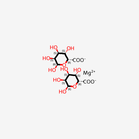 O=C([O-])[C@@H]1O[C@@H](O)[C@@H](O)[C@@H](O)[C@@H]1O.O=C([O-])[C@@H]1O[C@@H](O)[C@@H](O)[C@@H](O)[C@@H]1O.[Mg+2]